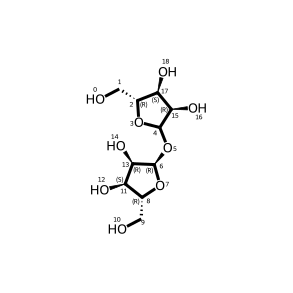 OC[C@H]1OC(O[C@H]2O[C@H](CO)[C@@H](O)[C@H]2O)[C@H](O)[C@@H]1O